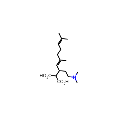 CC(C)=CCC/C(C)=C/C(CCN(C)C)C(C(=O)O)C(=O)O